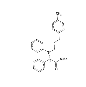 CNC(=O)[C@H](c1ccccc1)N(CCCc1ccc(C(F)(F)F)cc1)c1ccccc1